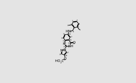 Cc1cccc(C)c1CNc1ccc2nc(-n3cc(OC(=O)O)cn3)[nH]c(=O)c2c1